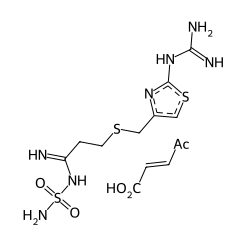 CC(=O)/C=C/C(=O)O.N=C(N)Nc1nc(CSCCC(=N)NS(N)(=O)=O)cs1